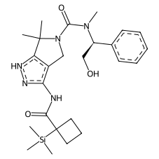 CN(C(=O)N1Cc2c(NC(=O)C3([Si](C)(C)C)CCC3)n[nH]c2C1(C)C)[C@H](CO)c1ccccc1